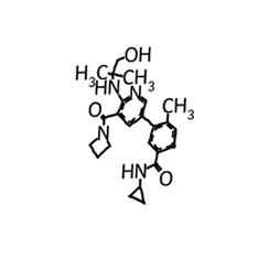 Cc1ccc(C(=O)NC2CC2)cc1-c1cnc(NC(C)(C)CO)c(C(=O)N2CCC2)c1